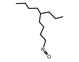 CCCCC(CCC)CCCCN=O